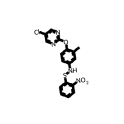 Cc1cc(NSc2ccccc2[N+](=O)[O-])ccc1Oc1ncc(Cl)cn1